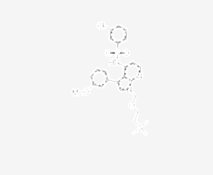 COc1cccc(-c2cn(COCC[Si](C)(C)C)c3nccc(NS(=O)(=O)c4cccc(Cl)c4)c23)c1